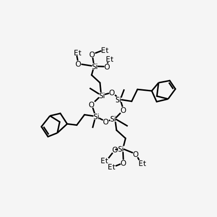 CCO[Si](CC[Si]1(C)O[Si](C)(CCC2CC3C=CC2C3)O[Si](C)(CC[Si](OCC)(OCC)OCC)O[Si](C)(CCC2CC3C=CC2C3)O1)(OCC)OCC